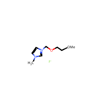 COCCOC[n+]1ccn(C)c1.[F-]